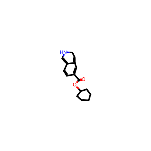 O=C(OC1CCCCC1)c1ccc2c(c1)=CCNC=2